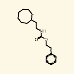 O=C(NCCC1[CH]CCCCCC1)OCCc1ccccc1